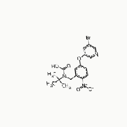 CC(C)(C)N(Cc1cc(Oc2cncc(Br)c2)ccc1[N+](=O)[O-])C(=O)O